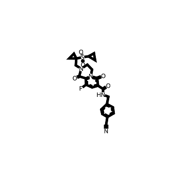 N#Cc1ccc(CNC(=O)c2cc(F)c3n(c2=O)CCN(CC2(S(=O)(=O)C4CC4)CC2)C3=O)cc1